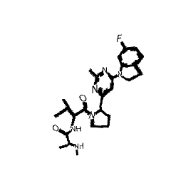 CNC(C)C(=O)NC(C(=O)N1CCCC1c1cc(N2CCc3ccc(F)cc32)nc(C)n1)C(C)C